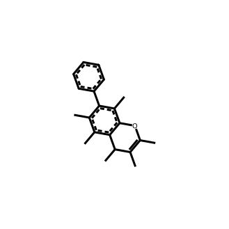 CC1=C(C)C(C)c2c(C)c(C)c(-c3ccccc3)c(C)c2O1